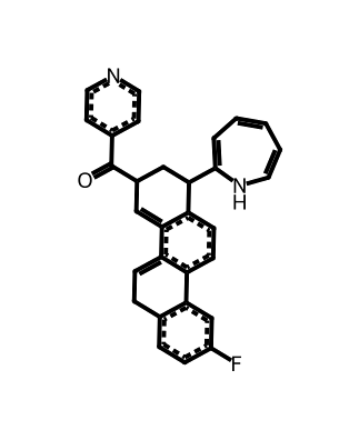 O=C(c1ccncc1)C1C=c2c(ccc3c2=CCc2ccc(F)cc2-3)C(C2=CC=CC=CN2)C1